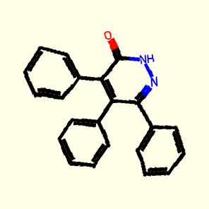 O=c1[nH]nc(-c2ccccc2)c(-c2ccccc2)c1-c1ccccc1